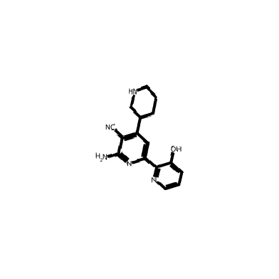 N#Cc1c(C2CCCNC2)cc(-c2ncccc2O)nc1N